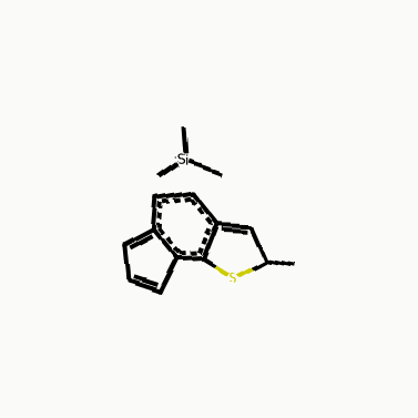 CC1C=c2ccc3c(c2S1)C=CC=3.C[Si](C)C